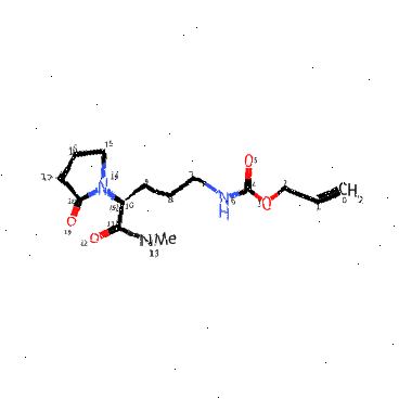 C=CCOC(=O)NCCC[C@@H](C(=O)NC)N1CCCC1=O